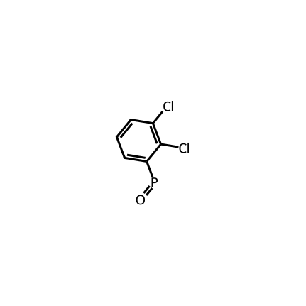 O=Pc1cccc(Cl)c1Cl